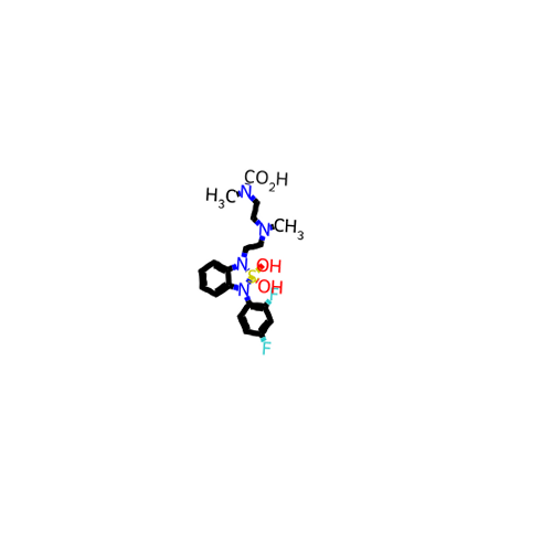 CN(CCN(C)C(=O)O)CCN1c2ccccc2N(c2ccc(F)cc2F)S1(O)O